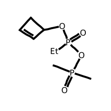 CCP(=O)(OC1C=CC1)OP(C)(C)=O